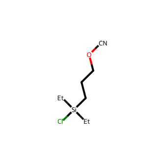 CC[Si](Cl)(CC)CCCOC#N